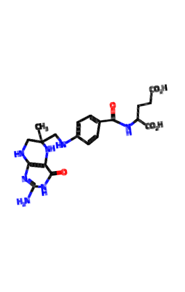 CC1(CNc2ccc(C(=O)NC(CCC(=O)O)C(=O)O)cc2)CNc2nc(N)[nH]c(=O)c2N1